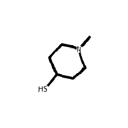 CN1CCC(S)CC1